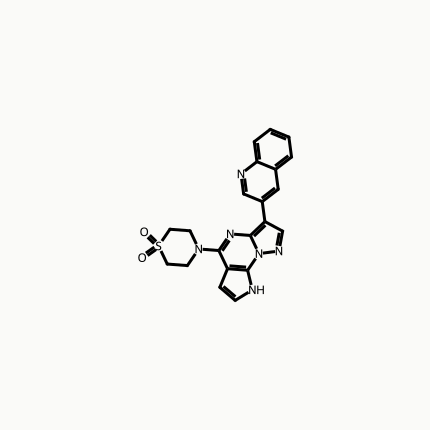 O=S1(=O)CCN(c2nc3c(-c4cnc5ccccc5c4)cnn3c3[nH]ccc23)CC1